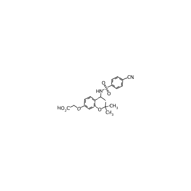 CC1(C)CC(NS(=O)(=O)c2ccc(C#N)cc2)c2ccc(OCC(=O)O)cc2O1